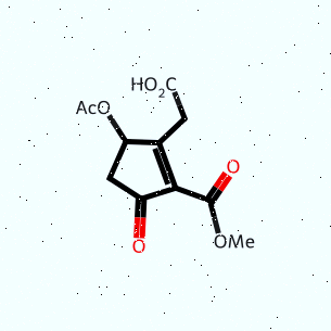 COC(=O)C1=C(CC(=O)O)C(OC(C)=O)CC1=O